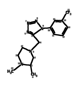 CC1CN(Cc2nnnn2-c2cccc(C(F)(F)F)c2)CCN1C